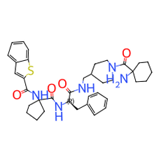 NC1(C(=O)N2CCC(CNC(=O)[C@@H](Cc3ccccc3)NC(=O)C3(NC(=O)c4cc5ccccc5s4)CCCC3)CC2)CCCCC1